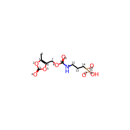 Cc1oc(=O)oc1COC(=O)NCCCS(=O)(=O)O